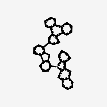 c1cc(-c2ccc3c4ccccc4c4ccccc4c3c2)c2c(c1)-c1cccc(-n3c4ccccc4c4cc5ccccc5cc43)c1C2